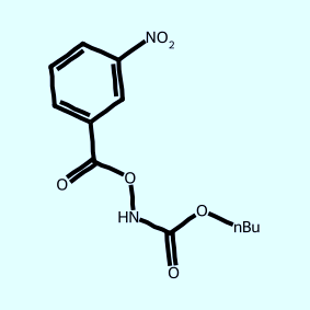 CCCCOC(=O)NOC(=O)c1cccc([N+](=O)[O-])c1